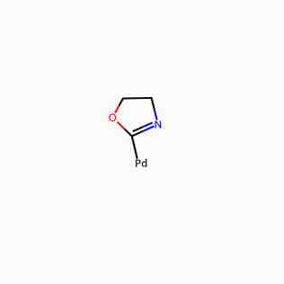 [Pd][C]1=NCCO1